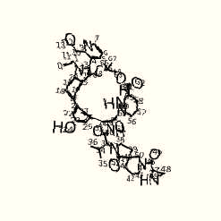 CCn1c(-c2cccnc2[C@H](C)OC)c2c3cc(ccc31)-c1cc(O)cc(c1)C[C@H](NC(=O)[C@H](C(C)C)N1CC[C@@]3(CCCN(C(=O)[C@H]4CN4)C3)C1=O)C(=O)N1CCC[C@H](N1)C(=O)OCC(C)(C)C2